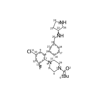 CC(C)(C)C(=O)N1CCN(c2ccc(Cl)cc2F)[C@H](c2ccc(CN[C@H]3CCNC3)cc2)C1